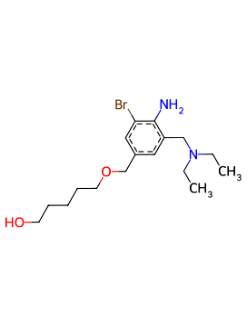 CCN(CC)Cc1cc(COCCCCCO)cc(Br)c1N